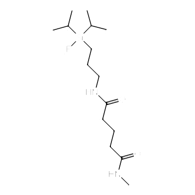 CNC(=O)CCCC(=O)NCCC[Si](F)(C(C)C)C(C)C